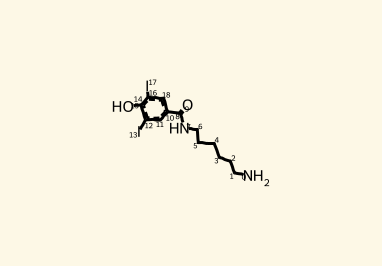 NCCCCCCNC(=O)c1cc(I)c(O)c(I)c1